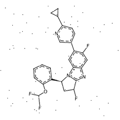 Fc1cc2nc3n(c2cc1-c1ccc(C2CC2)nc1)[C@H](c1ccccc1OC(F)F)CC3F